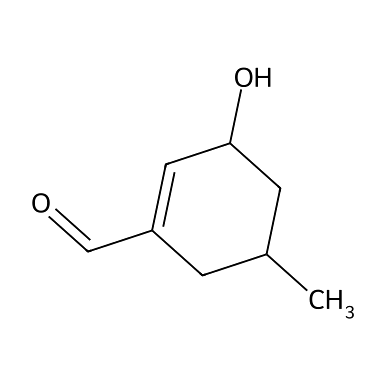 CC1CC(C=O)=CC(O)C1